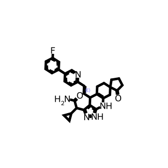 NC(=O)C(c1n[nH]c2c1C(/C=C/c1ccc(-c3cccc(F)c3)cn1)C1=C(CC3(CCCC3=O)CC1)N2)C1CC1